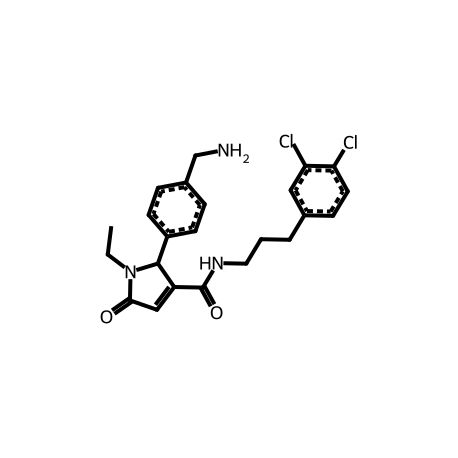 CCN1C(=O)C=C(C(=O)NCCCc2ccc(Cl)c(Cl)c2)C1c1ccc(CN)cc1